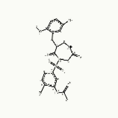 COc1ccc(Cl)cc1CC1CNC(=O)CN(S(=O)(=O)c2ccc(Cl)c(NC(C)=O)c2)C1=O